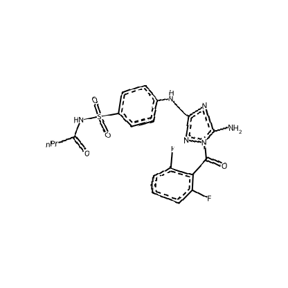 CCCC(=O)NS(=O)(=O)c1ccc(Nc2nc(N)n(C(=O)c3c(F)cccc3F)n2)cc1